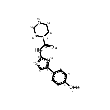 COc1ccc(-c2csc(NC(=O)N3CCOCS3)n2)cc1